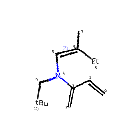 C=CC(=C)N(/C=C(/C)CC)CC(C)(C)C